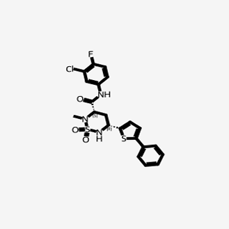 CN1[C@H](C(=O)Nc2ccc(F)c(Cl)c2)C[C@H](c2ccc(-c3ccccc3)s2)NS1(=O)=O